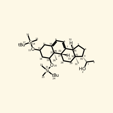 CC(O)[C@H]1CC[C@H]2C3=CC=C4CC(O[Si](C)(C)C(C)(C)C)CC(O[Si](C)(C)C(C)(C)C)[C@]4(C)[C@H]3CC[C@]12C